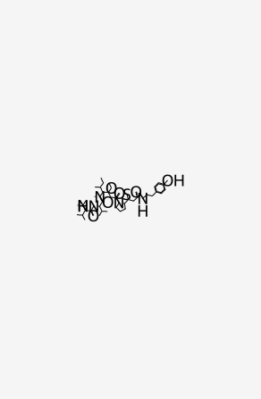 CCC(C)C(C(CC(=O)N1CCCC1C(CC(=O)NCCc1ccc(O)cc1)SC)OC)N(C)C(=O)C(NC(=O)C(C(C)C)N(C)C)C(C)C